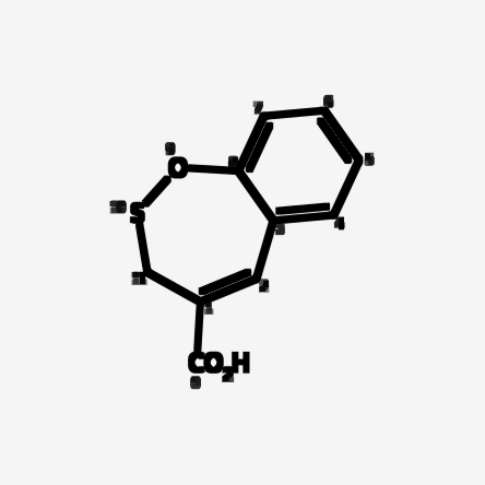 O=C(O)C1=Cc2ccccc2OSC1